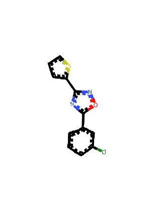 Clc1cccc(-c2nc(-c3cccs3)no2)c1